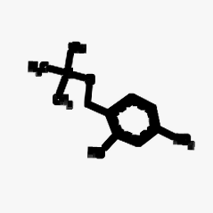 CC(C)(C)[Si](C)(C)OCc1ccc([N+](=O)[O-])cc1O